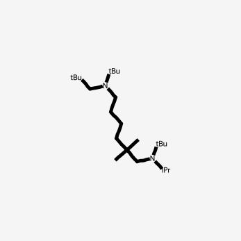 CC(C)N(CC(C)(C)CCCCN(CC(C)(C)C)C(C)(C)C)C(C)(C)C